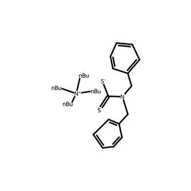 CCCC[N+](CCCC)(CCCC)CCCC.S=C([S-])N(Cc1ccccc1)Cc1ccccc1